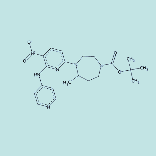 CC1CCN(C(=O)OC(C)(C)C)CCN1c1ccc([N+](=O)[O-])c(Nc2ccncc2)n1